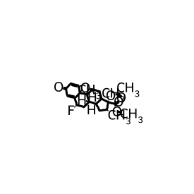 COC(=O)[C@@]1(OC(C)=O)[C@H](C)C[C@H]2[C@@H]3C[C@H](F)C4=CC(=O)C=C[C@]4(C)[C@@]34O[C@H]4C[C@@]21C